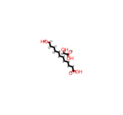 O=C(O)CCCCCCCCCCCO.O=C(O)CO